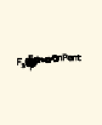 CCCCC[C@H]1CC[C@H]([C@H]2CC[C@H](CCc3ccc4c(F)c(OC(F)(F)F)c(F)cc4c3)CC2)CC1